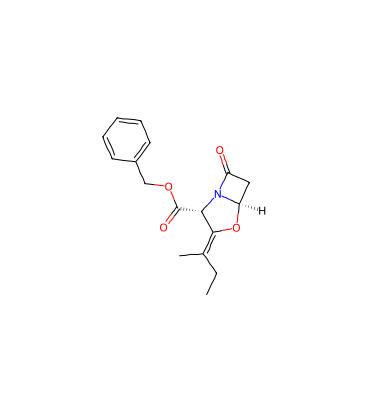 CC/C(C)=C1\O[C@@H]2CC(=O)N2[C@H]1C(=O)OCc1ccccc1